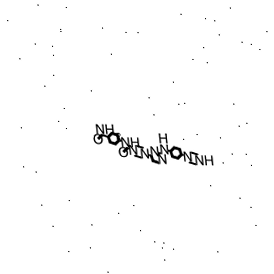 NC(=O)c1ccc(NC(=O)N2CCN(c3ccnc(Nc4ccc(N5CCNCC5)cc4)n3)CC2)cc1